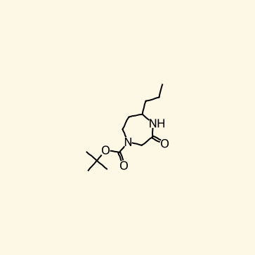 CCCC1CCN(C(=O)OC(C)(C)C)CC(=O)N1